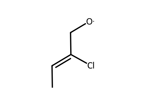 CC=C(Cl)C[O]